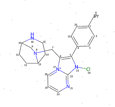 CC(C)c1ccc(-c2c(CN3CC4CCC3CCN4)[n+]3cccnc3n2Cl)cc1